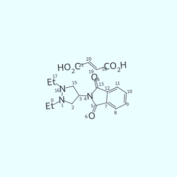 CCN1CC(N2C(=O)c3ccccc3C2=O)CN1CC.O=C(O)C=CC(=O)O